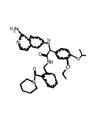 CCOc1cc(C(Nc2ccc3c(N)nccc3c2)C(=O)NCc2ccccc2C(=O)N2CCCCC2)ccc1OC(C)C